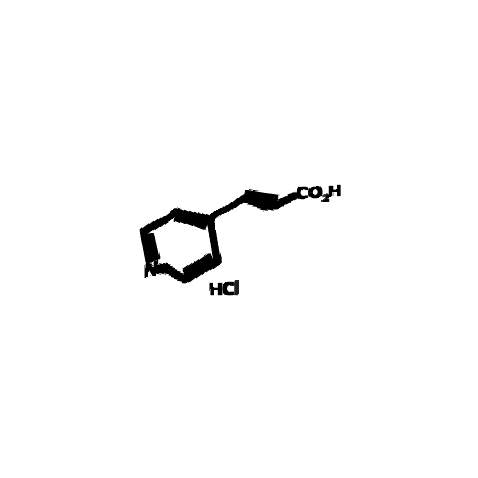 Cl.O=C(O)C=Cc1ccncc1